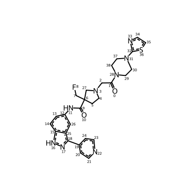 O=C(CN1CCC(CF)(C(=O)Nc2ccc3[nH]nc(-c4ccncc4)c3c2)C1)N1CCN(c2nccs2)CC1